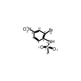 CS(=O)(=O)Nc1ccc([N+](=O)[O-])cc1Br